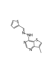 Cc1csc2c(NN=Cc3cccs3)ncnc12